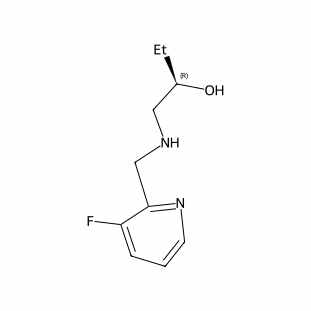 CC[C@@H](O)CNCc1ncccc1F